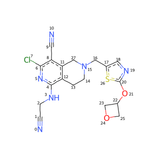 N#CCNc1nc(Cl)c(C#N)c2c1CCN(Cc1cnc(OC3COC3)s1)C2